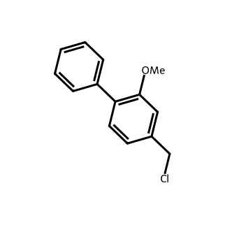 COc1cc(CCl)ccc1-c1ccccc1